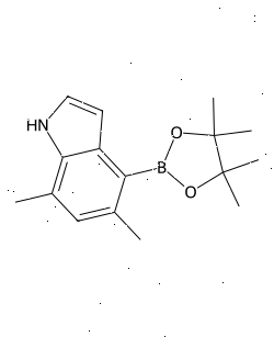 Cc1cc(C)c2[nH]ccc2c1B1OC(C)(C)C(C)(C)O1